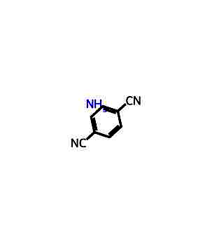 N.N#Cc1ccc(C#N)cc1